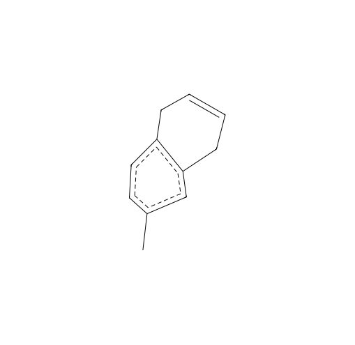 Cc1ccc2c(c1)CC=CC2